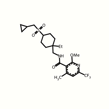 CCC1(CNC(=O)c2c(C)cc(C(F)(F)F)nc2OC)CCC(S(=O)(=O)CC2CC2)CC1